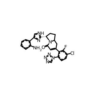 Nc1ccccc1-c1c[nH]c([C@@H]2CCC3CC(c4c(-n5cnnn5)ccc(Cl)c4F)=CC(=O)N32)n1